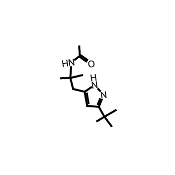 CC(=O)NC(C)(C)Cc1cc(C(C)(C)C)n[nH]1